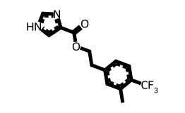 Cc1cc(CCOC(=O)c2c[nH]cn2)ccc1C(F)(F)F